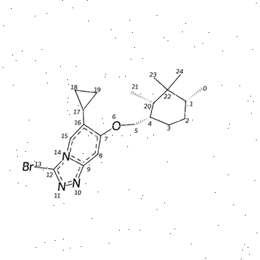 C[C@@H]1CC[C@H](COc2cc3nnc(Br)n3cc2C2CC2)[C@H](C)C1(C)C